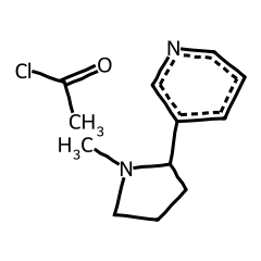 CC(=O)Cl.CN1CCCC1c1cccnc1